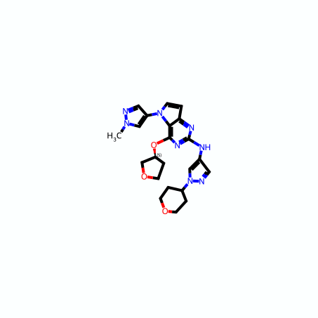 Cn1cc(-n2ccc3nc(Nc4cnn(C5CCOCC5)c4)nc(O[C@H]4CCOC4)c32)cn1